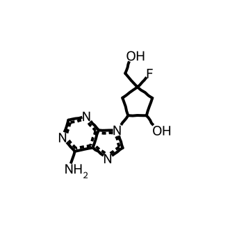 Nc1ncnc2c1ncn2C1CC(F)(CO)CC1O